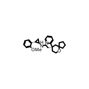 COc1ccccc1[C@@H]1C[C@H]1NCC[C@@]1(c2ccccn2)CCOC2(CCCC2)C1